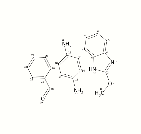 COc1nc2ccccc2[nH]1.Nc1ccc(N)cc1.O=Cc1ccccc1